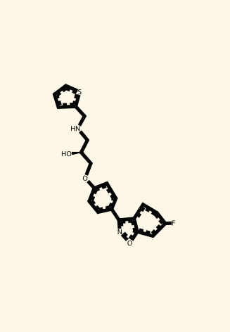 O[C@@H](CNCc1cccs1)COc1ccc(-c2noc3cc(F)ccc23)cc1